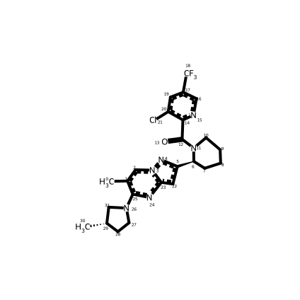 Cc1cn2nc([C@@H]3CCCCN3C(=O)c3ncc(C(F)(F)F)cc3Cl)cc2nc1N1CC[C@H](C)C1